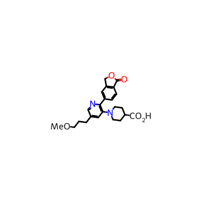 COCCCc1cnc(-c2ccc3c(c2)COC3=O)c(N2CCC(C(=O)O)CC2)c1